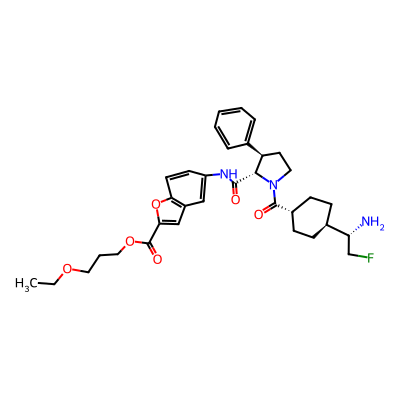 CCOCCCOC(=O)c1cc2cc(NC(=O)[C@@H]3[C@@H](c4ccccc4)CCN3C(=O)[C@H]3CC[C@H]([C@H](N)CF)CC3)ccc2o1